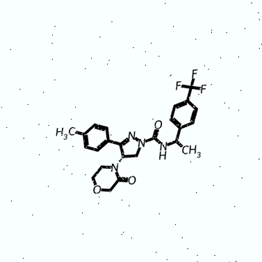 Cc1ccc(C2=NN(C(=O)NC(C)c3ccc(C(F)(F)F)cc3)C[C@@H]2N2CCOCC2=O)cc1